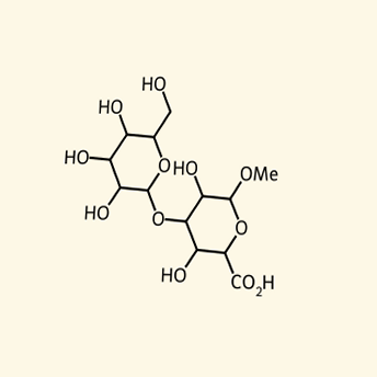 COC1OC(C(=O)O)C(O)C(OC2OC(CO)C(O)C(O)C2O)C1O